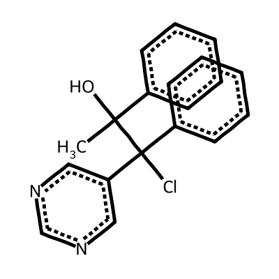 CC(O)(c1ccccc1)C(Cl)(c1ccccc1)c1cncnc1